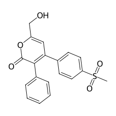 CS(=O)(=O)c1ccc(-c2cc(CO)oc(=O)c2-c2ccccc2)cc1